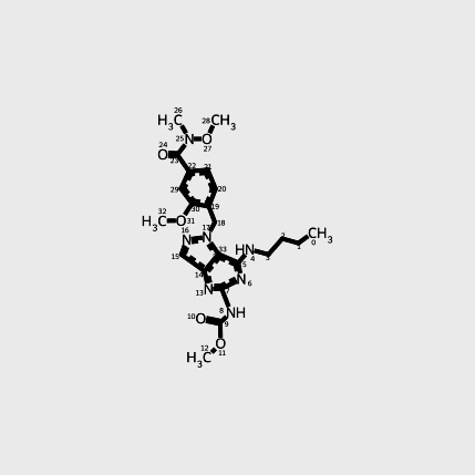 CCCCNc1nc(NC(=O)OC)nc2cnn(Cc3ccc(C(=O)N(C)OC)cc3OC)c12